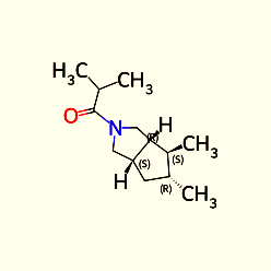 CC(C)C(=O)N1C[C@H]2C[C@@H](C)[C@H](C)[C@H]2C1